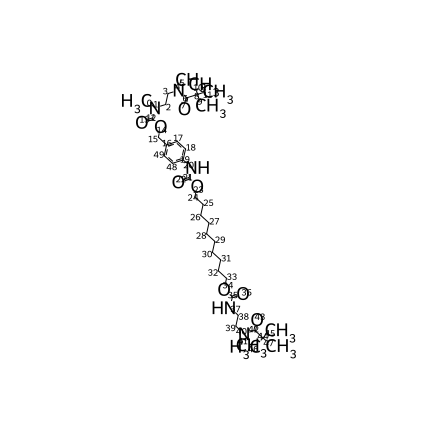 CN(CCN(C)C(=O)C(C)(C)C)C(=O)OCc1ccc(NC(=O)OCCCCCCCCCCOC(=O)NCCN(C)C(=O)C(C)(C)C)cc1